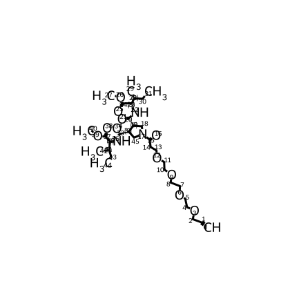 C#CCOCCOCCOCCOCCC(=O)N1C[C@@H](C(=O)N[C@H](C(=O)OC)[C@H](C)CC)[C@H](C(=O)N[C@H](C(=O)OC)[C@H](C)CC)C1